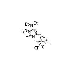 CCN(CC)c1nc(=O)n(CC2C(C)(C)C2(Cl)Cl)c(=O)n1N